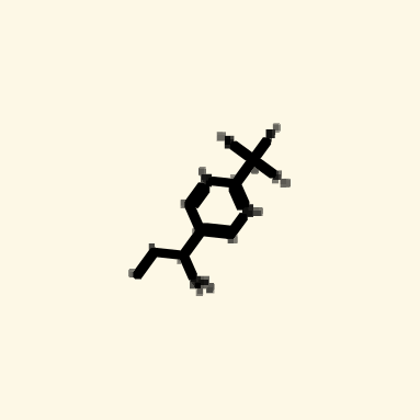 CCC(N)c1cnc(C(F)(F)F)nc1